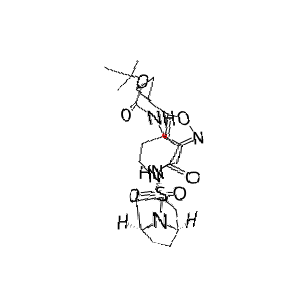 CC(C)(C)OC(=O)NC1CCN(S(=O)(=O)N2[C@@H]3CC[C@H]2C[C@H](NC(=O)c2cc(C4CC4)on2)C3)CC1